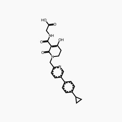 O=C(O)CNC(=O)C1=C(O)CCN(Cc2ccc(-c3ccc(C4CC4)cc3)cn2)C1=O